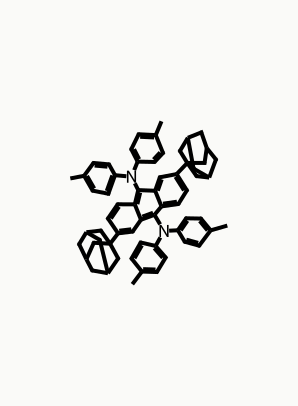 Cc1ccc(N(c2ccc(C)cc2)c2c3ccc(C45CC6CC(CC(C6)C4)C5)cc3c(N(c3ccc(C)cc3)c3ccc(C)cc3)c3ccc(C45CC6CC(CC(C6)C4)C5)cc23)cc1